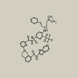 CN(C)CC[C@H](CSc1ccccc1)Nc1ccc(S(=O)(=O)NC(=O)c2cccc(N3CCc4cccc(C(=O)Nc5cn6ccncc6n5)c4C3)n2)cc1S(=O)(=O)C(F)(F)F